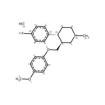 COc1ccc(OC[C@@H]2CN(C)CC[C@H]2c2ccc(F)cc2)cc1.Cl